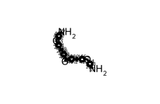 CC(C)(c1ccc(Oc2ccc(N)cc2)cc1)c1ccc(C(=O)c2ccc(C(C)(C)c3ccc(Oc4ccc(N)cc4)cc3)cc2)cc1